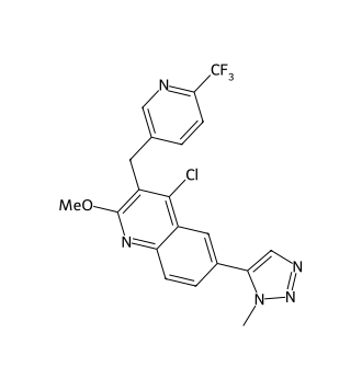 COc1nc2ccc(-c3cnnn3C)cc2c(Cl)c1Cc1ccc(C(F)(F)F)nc1